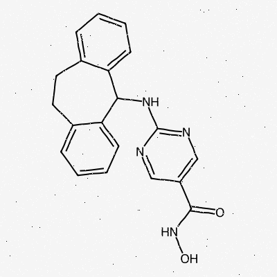 O=C(NO)c1cnc(NC2c3ccccc3CCc3ccccc32)nc1